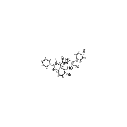 Cc1c(-c2ccccc2)nc2ccc(Br)cc2c1C(=O)NCC(C(=O)O)c1ccc(F)cc1